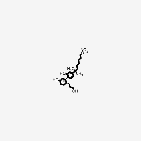 CC(C)(CCCCCCO[N+](=O)[O-])c1ccc([C@@H]2C[C@H](O)CC[C@H]2CCCO)c(O)c1